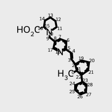 Cc1c(/C=C/c2ccc(CN3CCCC[C@@H]3C(=O)O)cn2)cccc1-c1ccccc1